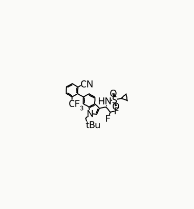 CC(C)(C)Cn1cc([C@H](NS(=O)(=O)C2CC2)C(F)F)c2ccc(-c3c(C#N)cccc3C(F)(F)F)cc21